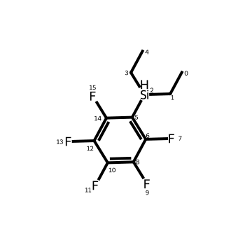 CC[SiH](CC)c1c(F)c(F)c(F)c(F)c1F